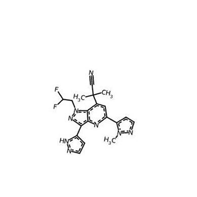 Cn1nccc1-c1cc(C(C)(C)C#N)c2c(n1)c(-c1ccn[nH]1)nn2CC(F)F